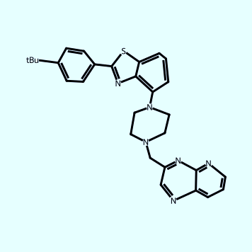 CC(C)(C)c1ccc(-c2nc3c(N4CCN(Cc5cnc6cccnc6n5)CC4)cccc3s2)cc1